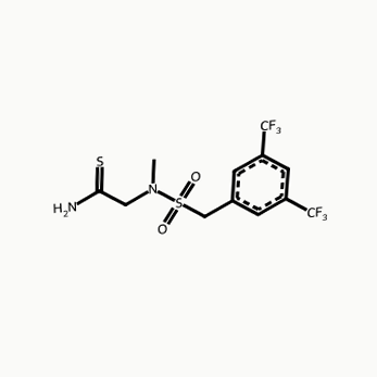 CN(CC(N)=S)S(=O)(=O)Cc1cc(C(F)(F)F)cc(C(F)(F)F)c1